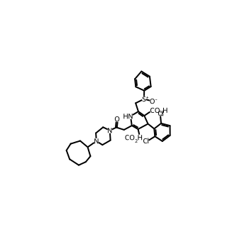 O=C(O)C1=C(CC(=O)N2CCN(C3CCCCCCC3)CC2)NC(C[S+]([O-])c2ccccc2)=C(C(=O)O)C1c1c(Cl)cccc1Cl